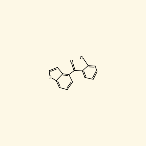 O=C(c1ccccc1Cl)c1cccc2occc12